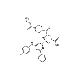 CCOC(=O)N1CCN(C(=O)C(CCC(=O)O)NC(=O)c2cc(Nc3ccc(F)cc3)nc(-c3ccccc3)n2)CC1